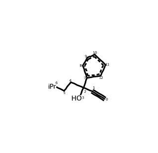 C#CC(O)(CCC(C)C)c1ccccc1